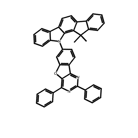 CC1(C)c2ccccc2-c2ccc3c4ccccc4n(-c4ccc5c(c4)oc4c(-c6ccccc6)nc(-c6ccccc6)nc45)c3c21